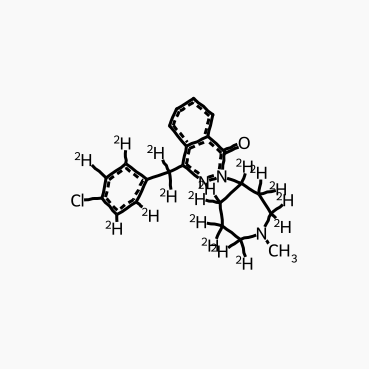 [2H]c1c([2H])c(C([2H])([2H])c2nn(C3([2H])C([2H])([2H])C([2H])([2H])N(C)C([2H])([2H])C([2H])([2H])C3([2H])[2H])c(=O)c3ccccc23)c([2H])c([2H])c1Cl